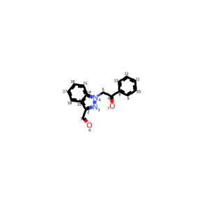 O=Cc1nn(CC(=O)c2ccccc2)c2ccccc12